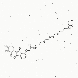 CC(C)(C)OC(=O)NCCCOCCOCCOCCCNC(=O)COc1cccc2c1C(=O)N(C1CCC(=O)NC1=O)C2=O